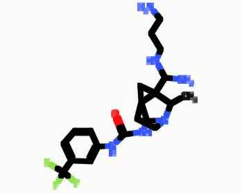 CC1N2CCC3(CC13C(N)NCCCN)C2NC(=O)Nc1cccc(C(F)(F)F)c1